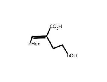 CCCCCCC=C(CCCCCCCCCC)C(=O)O